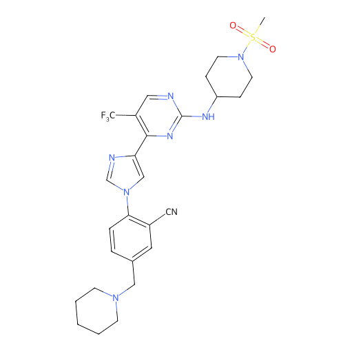 CS(=O)(=O)N1CCC(Nc2ncc(C(F)(F)F)c(-c3cn(-c4ccc(CN5CCCCC5)cc4C#N)cn3)n2)CC1